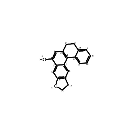 Oc1cc2c(c3cc4c(cc13)OCC4)-c1ccccc1CC2